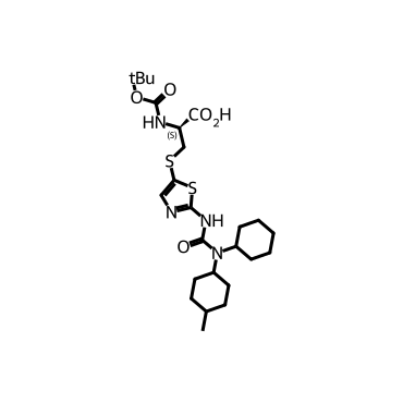 CC1CCC(N(C(=O)Nc2ncc(SC[C@@H](NC(=O)OC(C)(C)C)C(=O)O)s2)C2CCCCC2)CC1